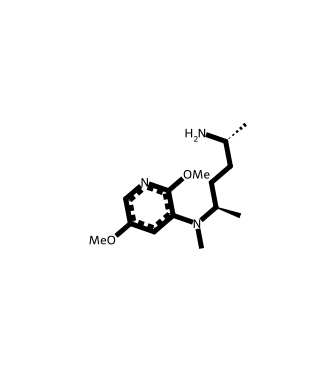 COc1cnc(OC)c(N(C)[C@H](C)CC[C@@H](C)N)c1